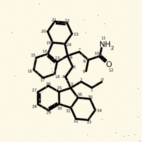 CCCC1(CCC2(CC(C)C(N)=O)C3=C(CCCC3)C3CC=CCC32)C2CC=CC=C2C2CCCCC21